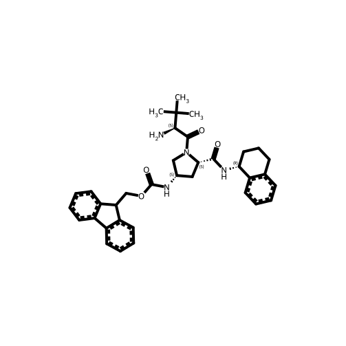 CC(C)(C)[C@H](N)C(=O)N1C[C@@H](NC(=O)OCC2c3ccccc3-c3ccccc32)C[C@H]1C(=O)N[C@@H]1CCCc2ccccc21